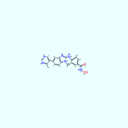 Cc1ncncc1-c1ccc2c(c1)nc(Nc1ccc(C(=O)NO)cc1)n2C(C)C